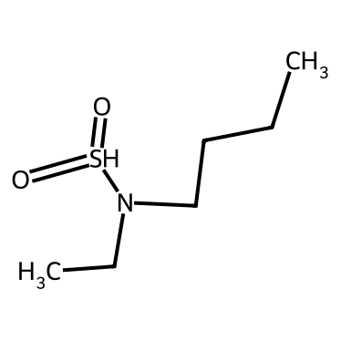 CCCCN(CC)[SH](=O)=O